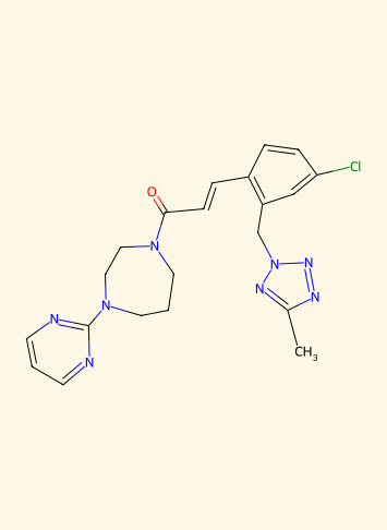 Cc1nnn(Cc2cc(Cl)ccc2C=CC(=O)N2CCCN(c3ncccn3)CC2)n1